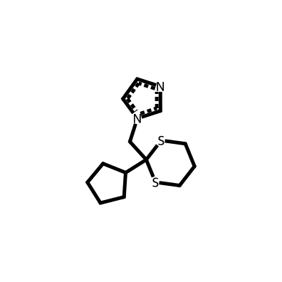 c1cn(CC2(C3CCCC3)SCCCS2)cn1